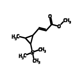 COC(=O)/C=C/C1C(C)C1[Si](C)(C)C